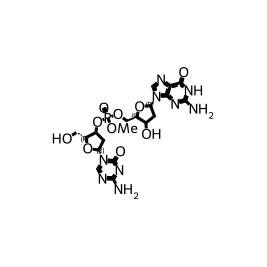 COP(=O)(OC[C@H]1O[C@@H](n2cnc3c(=O)[nH]c(N)nc32)CC1O)OC1C[C@H](n2cnc(N)nc2=O)O[C@@H]1CO